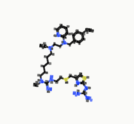 COc1ccc(CN(CCN(C)CCCCCCN(C#N)C(=N)NCCSCc2csc(N=C(N)N)n2)c2ccccn2)cc1